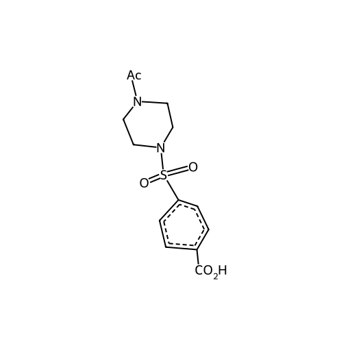 CC(=O)N1CCN(S(=O)(=O)c2ccc(C(=O)O)cc2)CC1